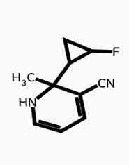 CC1(C2CC2F)NC=CC=C1C#N